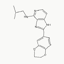 CC(C)CNc1nccc2[nH]c(-c3ccc4c(c3)OCCO4)nc12